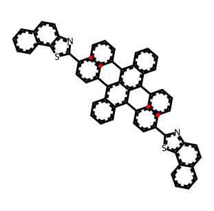 c1ccc(-c2c3ccccc3c(-c3ccccc3)c3c(-c4ccc(-c5nc6ccc7ccccc7c6s5)cc4)c4ccccc4c(-c4ccc(-c5nc6ccc7ccccc7c6s5)cc4)c23)cc1